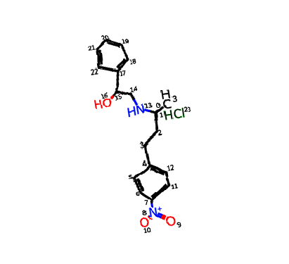 CC(CCc1ccc([N+](=O)[O-])cc1)NCC(O)c1ccccc1.Cl